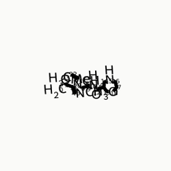 C=C(OC)c1cnc(C(C)(C)NC(=O)C2CNCCOC2)n1/C=C\C